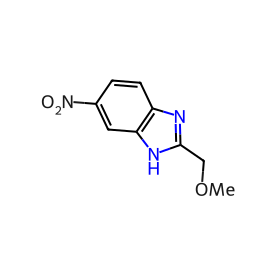 COCc1nc2ccc([N+](=O)[O-])cc2[nH]1